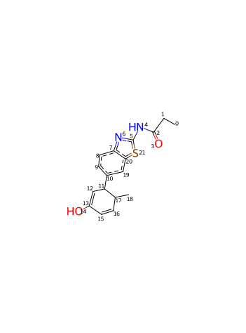 CCC(=O)Nc1nc2ccc(C3C=C(O)C=CC3C)cc2s1